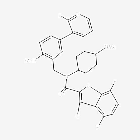 CNC1CCC(N(Cc2cc(-c3cccnc3F)ccc2OC)C(=O)c2sc3c(F)ccc(F)c3c2Cl)CC1